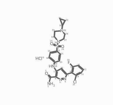 Cl.NC(=O)c1nnc(-c2c(F)cccc2Cl)cc1Nc1ccc(S(=O)(=O)N2CCN(C3CC3)CC2)cc1